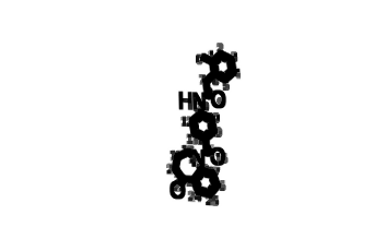 Cc1ccccc1CC(=O)Nc1ccc(C(=O)N2CCCC(=O)c3ccccc32)cc1